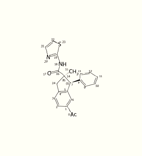 CC(=O)c1ccc2c(c1)[C@H](c1ccccc1)[C@](C)(C(=O)Nc1nccs1)C2